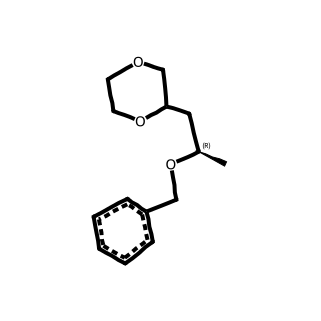 C[C@H](CC1COCCO1)OCc1ccccc1